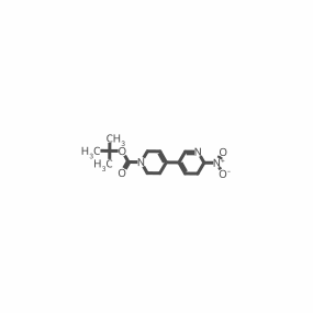 CC(C)(C)OC(=O)N1CC=C(C2=CCC([N+](=O)[O-])N=C2)CC1